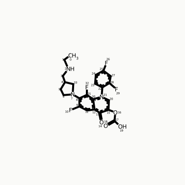 CCNCC1CCN(c2c(F)cc3c(=O)c(OC(=O)O)cn(-c4ccc(F)cc4F)c3c2F)C1